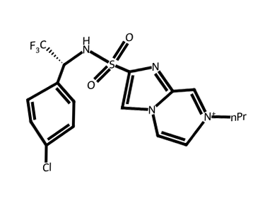 CCC[n+]1ccn2cc(S(=O)(=O)N[C@H](c3ccc(Cl)cc3)C(F)(F)F)nc2c1